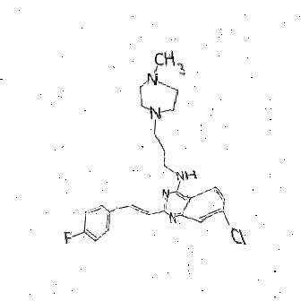 CN1CCN(CCCNc2nc(C=Cc3ccc(F)cc3)nc3cc(Cl)ccc23)CC1